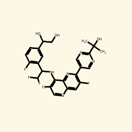 CC(C)(O)c1ncc(-c2nc3c(NC(c4cc(C(O)CO)ccc4F)C(F)F)c(Cl)cnc3cc2F)cn1